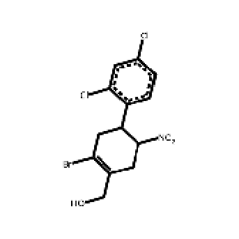 O=[N+]([O-])C1CC(CO)=C(Br)CC1c1ccc(Cl)cc1Cl